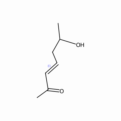 CC(=O)/C=C/CC(C)O